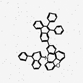 c1ccc(-c2ccc(N(c3cccc(-c4ccc5c(c4)c(-c4ccccc4)c(-c4ccccc4)c4ccccc45)c3)c3cccc4oc5ccccc5c34)c3ccccc23)cc1